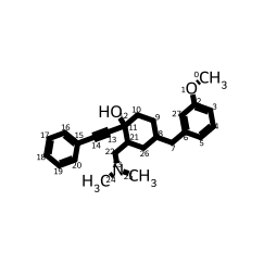 COc1cccc(CC2CCC(O)(C#Cc3ccccc3)C(CN(C)C)C2)c1